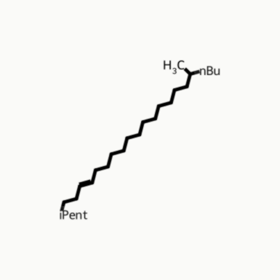 [CH2]CCCC(C)CCCCCCCCCCCCC=CCCC(C)CC[CH2]